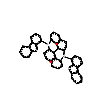 c1ccc(N(c2ccccc2-c2ccccc2N(c2ccccc2)c2cccc3c2sc2ccccc23)c2cccc3c2sc2ccccc23)cc1